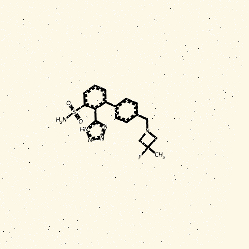 CC1(F)CN(Cc2ccc(-c3cccc(S(N)(=O)=O)c3-c3nnn[nH]3)cc2)C1